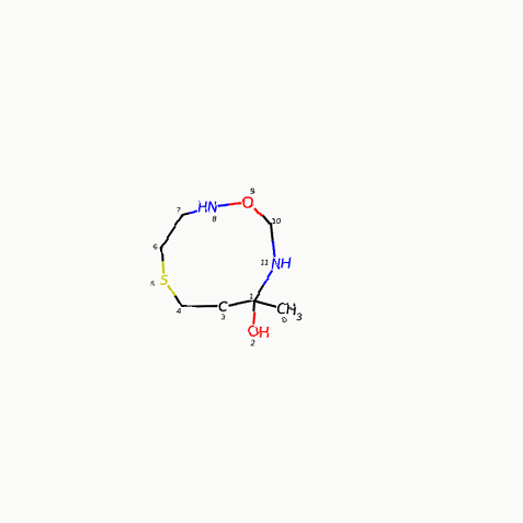 CC1(O)CCSCCNOCN1